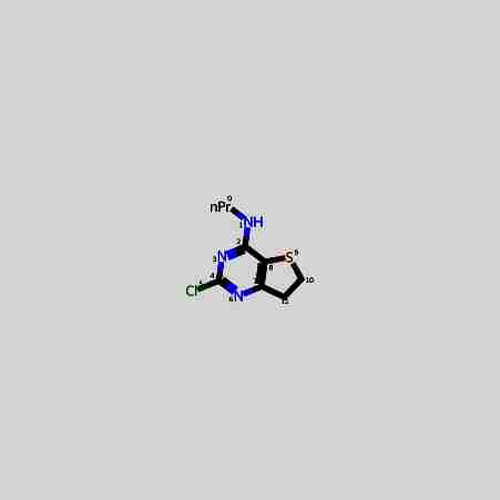 CCCNc1nc(Cl)nc2c1SCC2